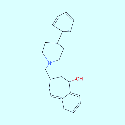 OC1CC(CN2CCC(c3ccccc3)CC2)CC=C2CC=CC=C21